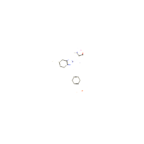 CCOP(=O)(OCC)c1ccc(CCn2c(N(C=O)c3c(C)noc3C)nc3cc(C#N)ccc32)cc1